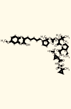 CC[C@@H]1CCN(C(=O)[C@@H](NC(=O)O[C@]2(C)CCC[C@H]2CCCCCc2nc3ccc(OC)cc3nc2O)C(C)(C)C)C1C(=O)N[C@]1(C(=O)NS(=O)(=O)C2(C)CC2)C[C@H]1C(F)F